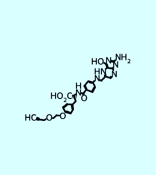 C#CCOCCOc1ccc(C[C@H](NC(=O)c2ccc(NCc3cnc4nc(N)nc(O)c4n3)cc2)C(=O)O)cc1